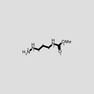 COC(=O)NCCCNN